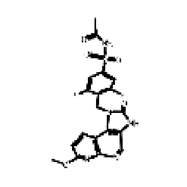 COc1ccc2c(ncc3[nH]c(=O)n(Cc4c(F)cc(S(=O)(=O)NC(C)=O)cc4F)c32)n1